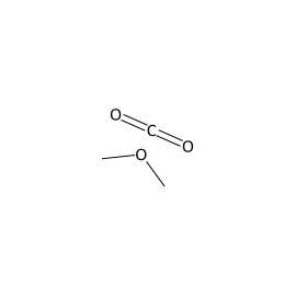 COC.O=C=O